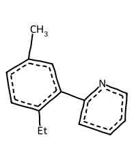 CCc1ccc(C)cc1-c1ccccn1